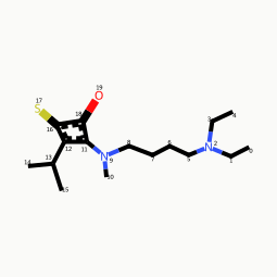 CCN(CC)CCCCN(C)c1c(C(C)C)c(=S)c1=O